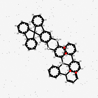 C1=CCC(c2ccccc2N(c2ccc3c(c2)Oc2cc4c(cc2O3)-c2ccccc2C42c3ccccc3-c3ccccc32)c2ccccc2-c2ccccc2)C=C1